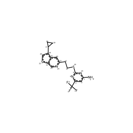 Nc1cc(C(F)(F)F)nc(SCCc2cc3c(C4CC4)csc3cn2)n1